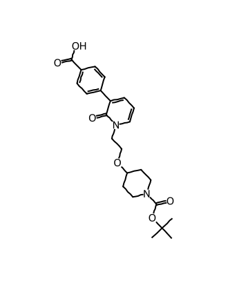 CC(C)(C)OC(=O)N1CCC(OCCn2cccc(-c3ccc(C(=O)O)cc3)c2=O)CC1